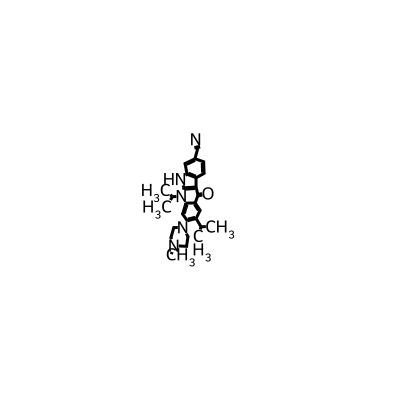 CC(C)c1cc2c(=O)c3c4ccc(C#N)cc4[nH]c3n(C(C)C)c2cc1N1CCN(C)CC1